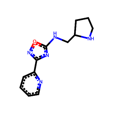 c1ccc(-c2noc(NCC3CCCN3)n2)nc1